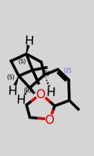 CC(/C=C\[C@@H]1C[C@H]2C[C@@H]([C@@H]1C)C2(C)C)C1OCCO1